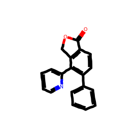 O=C1OCc2c1ccc(-c1ccccc1)c2-c1ccccn1